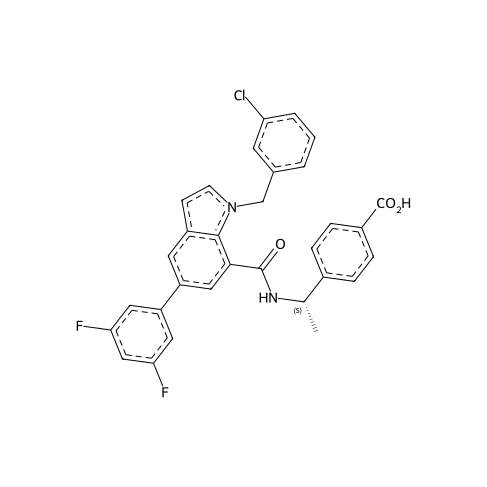 C[C@H](NC(=O)c1cc(-c2cc(F)cc(F)c2)cc2ccn(Cc3cccc(Cl)c3)c12)c1ccc(C(=O)O)cc1